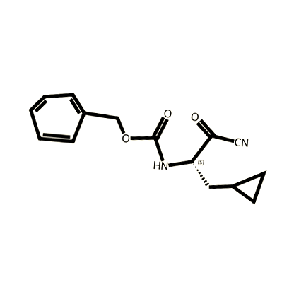 N#CC(=O)[C@H](CC1CC1)NC(=O)OCc1ccccc1